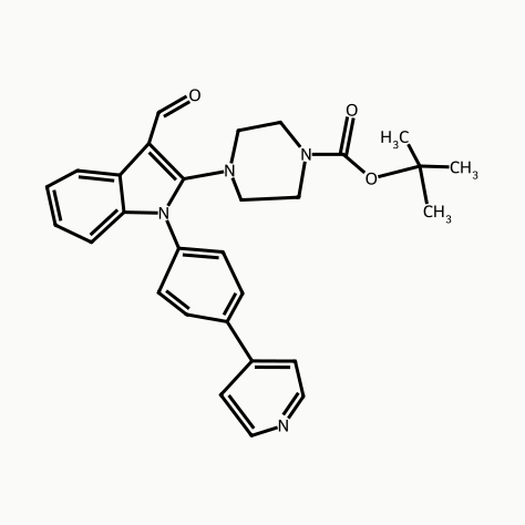 CC(C)(C)OC(=O)N1CCN(c2c(C=O)c3ccccc3n2-c2ccc(-c3ccncc3)cc2)CC1